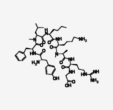 CCCC[C@H](NC(=O)[C@H](CC(C)C)N(C)C(=O)[C@H](Cc1ccccc1)NC(=O)[C@@H](N)Cc1ccc(O)cc1)C(=O)N[C@@H](CCCCN)C(=O)N(C)[C@@H](C)C(=O)N[C@@H](CCCNC(=N)N)C(=O)NCC(=O)O